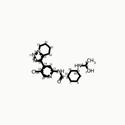 CC(O)N[C@@H]1CCC[C@H](C(=O)Nc2cc(-c3nnn4c3CCCC4)c(Cl)cn2)C1